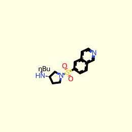 CCCCN[C@H]1CCN(S(=O)(=O)c2ccc3cnccc3c2)C1